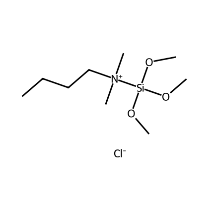 CCCC[N+](C)(C)[Si](OC)(OC)OC.[Cl-]